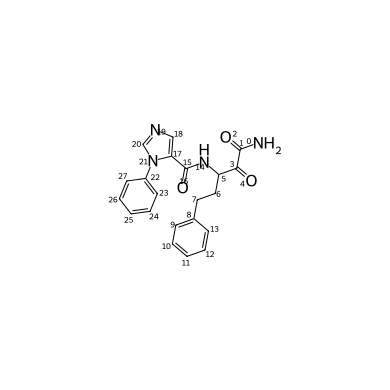 NC(=O)C(=O)C(CCc1ccccc1)NC(=O)c1cncn1-c1ccccc1